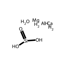 O.O=[Si](O)O.[AlH3].[CaH2].[MgH2]